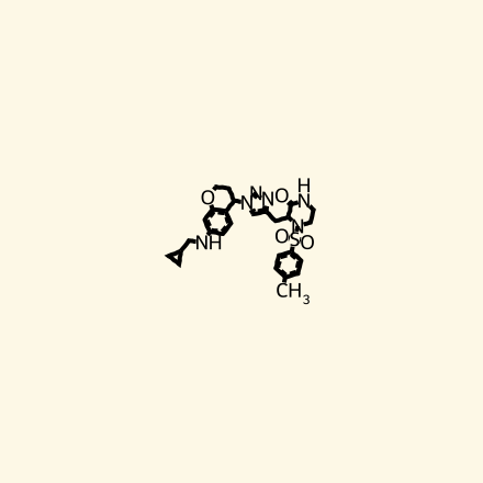 Cc1ccc(S(=O)(=O)N2CCNC(=O)C2Cc2cn(C3CCOc4cc(NCC5CC5)ccc43)nn2)cc1